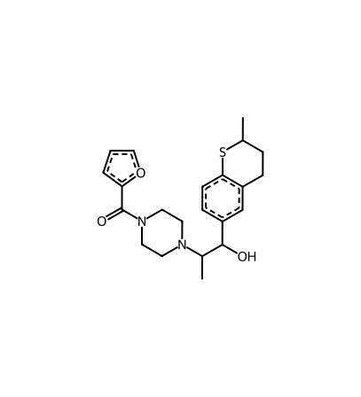 CC1CCc2cc(C(O)C(C)N3CCN(C(=O)c4ccco4)CC3)ccc2S1